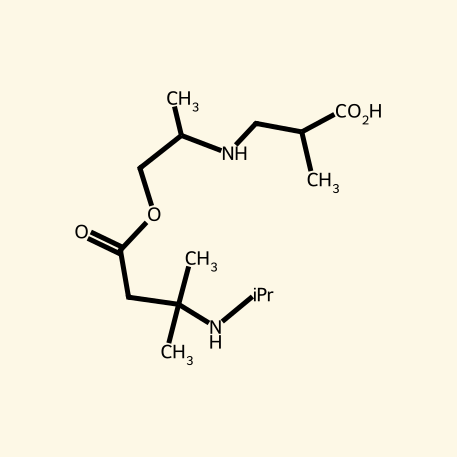 CC(C)NC(C)(C)CC(=O)OCC(C)NCC(C)C(=O)O